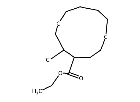 CCOC(=O)C1CCCCCCCCCC1Cl